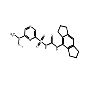 CN(C)c1cncc(S(=O)(=O)NC(=O)Nc2c3c(cc4c2CCC4)CCC3)n1